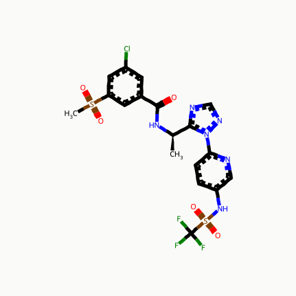 C[C@@H](NC(=O)c1cc(Cl)cc(S(C)(=O)=O)c1)c1ncnn1-c1ccc(NS(=O)(=O)C(F)(F)F)cn1